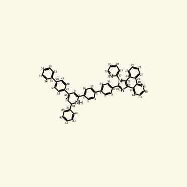 C1=C(c2ccc(-c3ccc(-c4nc5c6cccnc6c6ccccc6c5n4-c4ccccn4)cc3)cc2)NC(c2ccccc2)N=C1c1ccc(-c2ccccc2)cc1